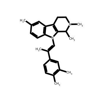 C/C(=C\n1c2c(c3cc(C)ccc31)CCN(C)C2C)c1ccc(C)c(C)c1